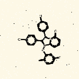 Cc1ccc(F)cc1SN1c2cccc(=O)n2C(c2ccc(Cl)cc2)C1c1ccc(Cl)cc1